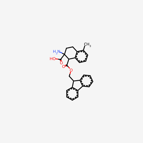 Cc1cccc2c1CCC(N)(C(=O)O)C2C(=O)OCC1c2ccccc2-c2ccccc21